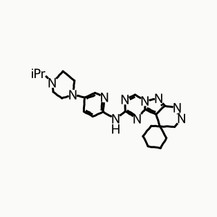 CC(C)N1CCN(c2ccc(Nc3ncn4nc5c(c4n3)C3(CCCCC3)CN=N5)nc2)CC1